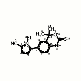 CCn1c(C#N)ccc1-c1ccc2c(c1)C(C)(C)OC(=S)N2